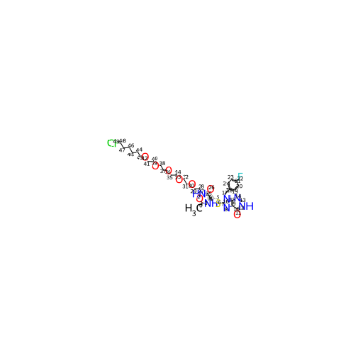 CC(=O)N[C@@H](CSc1nc2c(=O)[nH]cnc2n1Cc1ccc(F)cc1)C(=O)NCCOCCOCCOCCOCCOCCCCCCCl